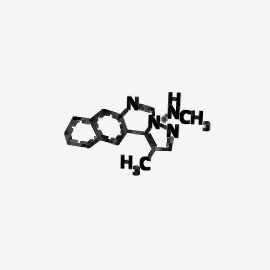 CN[N+]12C=Nc3cc4ccccc4cc3C1=C(C)C=N2